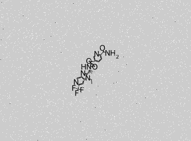 CCn1c([C@@H](C)NS(=O)(=O)c2ccc(C(N)=O)nc2)nc2cnc(C(F)(F)F)cc21